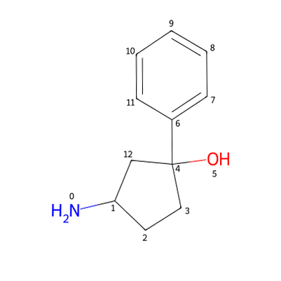 NC1CCC(O)(c2ccccc2)C1